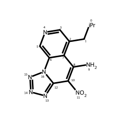 CC(C)Cc1cncc2c1c(N)c([N+](=O)[O-])c1nnnn12